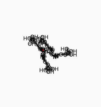 CCCC(C)(C)C(CCCCN(Cc1cn(CCOCCO[C@H]2C[C@@H](O)[C@@H](O)[C@@H](CO)O2)nn1)Cc1cn(CCOCCO[C@H]2C[C@@H](O)[C@@H](O)[C@@H](CO)O2)nn1)N(Cc1cn(CCCCCO[C@H]2C[C@@H](O)[C@@H](O)[C@@H](CO)O2)nn1)Cc1cn(CCOCCO[C@H]2C[C@@H](O)[C@@H](O)[C@@H](CO)O2)nn1